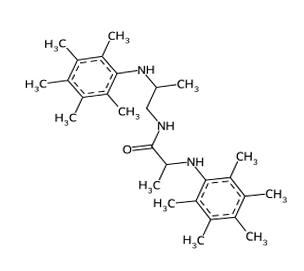 Cc1c(C)c(C)c(NC(C)CNC(=O)C(C)Nc2c(C)c(C)c(C)c(C)c2C)c(C)c1C